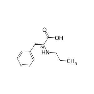 CCCN[C@@H](Cc1ccccc1)C(=O)O